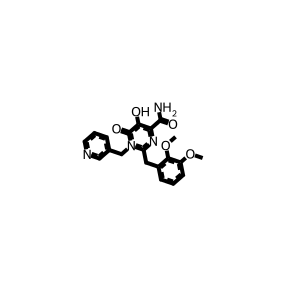 COc1cccc(Cc2nc(C(N)=O)c(O)c(=O)n2Cc2cccnc2)c1OC